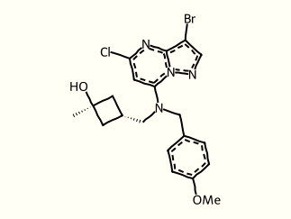 COc1ccc(CN(C[C@H]2C[C@](C)(O)C2)c2cc(Cl)nc3c(Br)cnn23)cc1